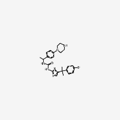 CC(NC(=O)Nc1nc(C(C)(C)c2ccc(Br)cc2)cs1)c1ccc(N2CCNCC2)cc1